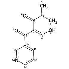 CC(C)C(=O)C(=NO)C(=O)c1cccnc1